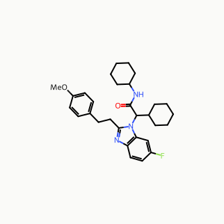 COc1ccc(CCc2nc3ccc(F)cc3n2C(C(=O)NC2CCCCC2)C2CCCCC2)cc1